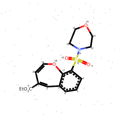 CCOC(=O)C1=Cc2cccc(S(=O)(=O)N3CCOCC3)c2OC=C1